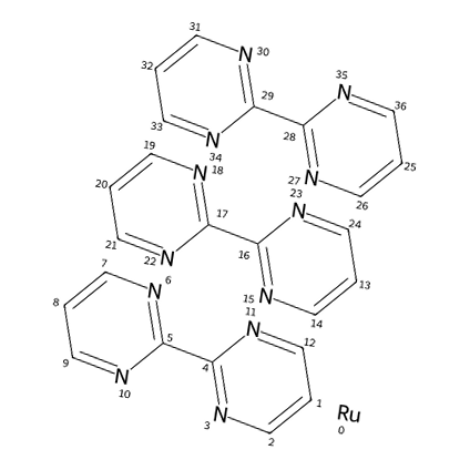 [Ru].c1cnc(-c2ncccn2)nc1.c1cnc(-c2ncccn2)nc1.c1cnc(-c2ncccn2)nc1